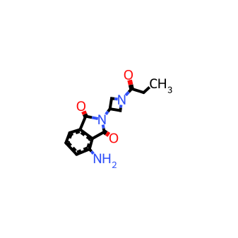 CCC(=O)N1CC(N2C(=O)c3cccc(N)c3C2=O)C1